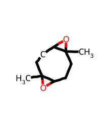 CC12CCC3OC3(C)CCC1O2